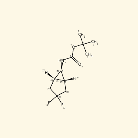 CC(C)(C)OC(=O)N[C@H]1[C@@H]2CC(F)(F)C[C@@H]21